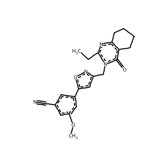 CCc1nc2c(c(=O)n1Cc1cc(-c3cc(C#N)cc(OC)c3)on1)CCCC2